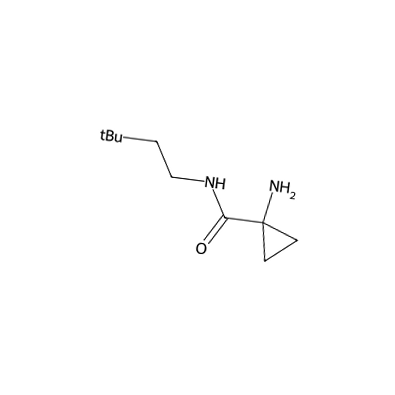 CC(C)(C)CCNC(=O)C1(N)CC1